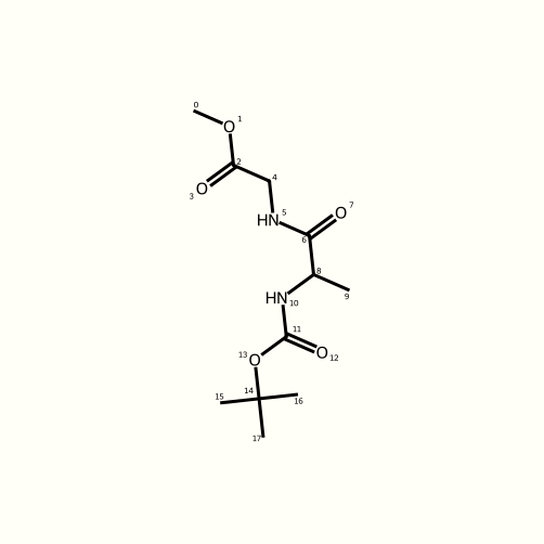 COC(=O)CNC(=O)C(C)NC(=O)OC(C)(C)C